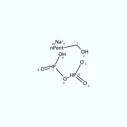 CCCCCCO.O=[PH]([O-])O[PH](=O)O.[Na+]